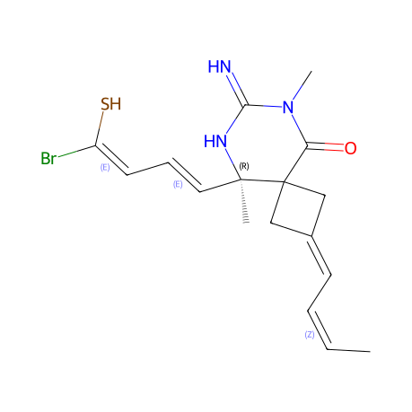 C/C=C\C=C1CC2(C1)C(=O)N(C)C(=N)N[C@]2(C)/C=C/C=C(\S)Br